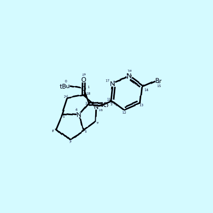 CC(C)(C)OC(=O)N1C2CCC1CN(c1ccc(Br)nn1)C(=O)C2